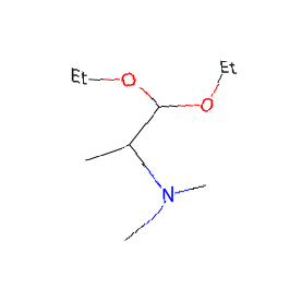 CCOC(OCC)C(C)N(C)C